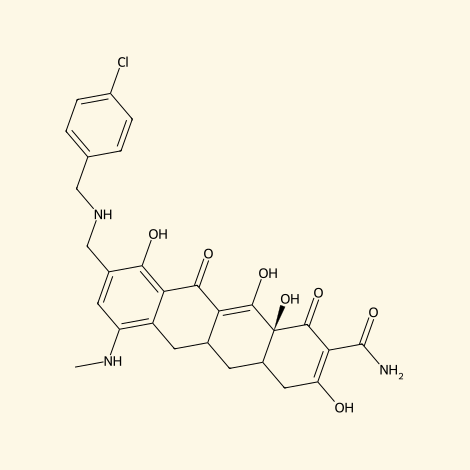 CNc1cc(CNCc2ccc(Cl)cc2)c(O)c2c1CC1CC3CC(O)=C(C(N)=O)C(=O)[C@@]3(O)C(O)=C1C2=O